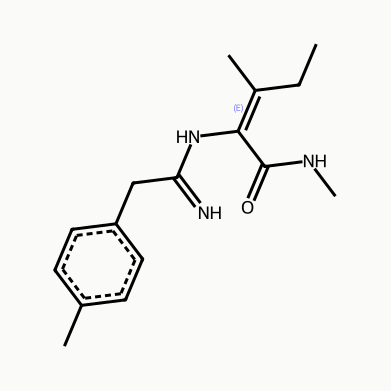 CC/C(C)=C(/NC(=N)Cc1ccc(C)cc1)C(=O)NC